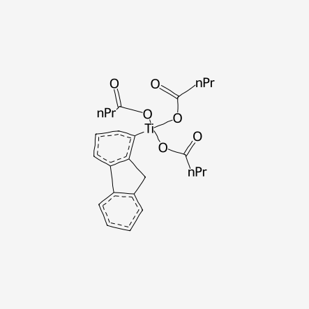 CCCC(=O)[O][Ti]([O]C(=O)CCC)([O]C(=O)CCC)[c]1cccc2c1Cc1ccccc1-2